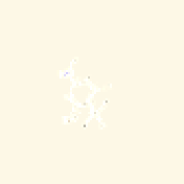 CNc1cc(F)c(C(C)(C)C)c(Br)c1